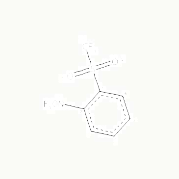 O=S(=O)(c1ccccc1NC(F)(F)F)C(F)(F)F